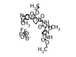 C=CCOC(=O)Nc1nc(C(=NOC)C(=O)N[C@H]2C(=O)N3C(C(=O)OCC=C)=C([n+]4ccc5ncn(C)c5c4)CCC23)cs1.O=S(=O)([O-])C(F)(F)F